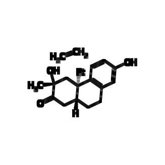 C=C.CC[C@@]12C[C@@](C)(O)C(=O)C[C@H]1CCc1cc(O)ccc12